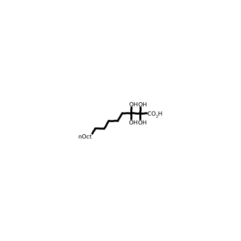 CCCCCCCCCCCCCC(O)(O)C(O)(O)C(=O)O